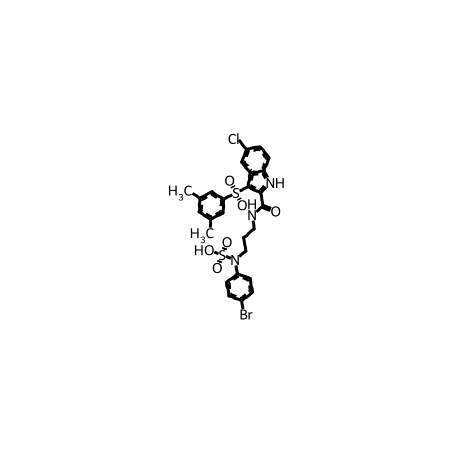 Cc1cc(C)cc(S(=O)(=O)c2c(C(=O)NCCCN(c3ccc(Br)cc3)S(=O)(=O)O)[nH]c3ccc(Cl)cc23)c1